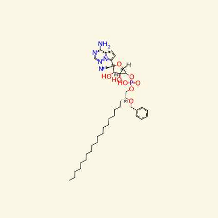 CCCCCCCCCCCCCCCCCCC[C@H](COP(=O)(O)OC1[C@H]2O[C@@](C#N)(c3ccc4c(N)ncnn34)[C@H](O)[C@@]12O)OCc1ccccc1